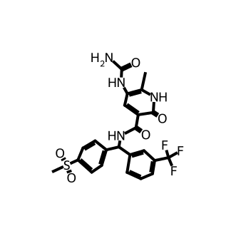 Cc1[nH]c(=O)c(C(=O)NC(c2ccc(S(C)(=O)=O)cc2)c2cccc(C(F)(F)F)c2)cc1NC(N)=O